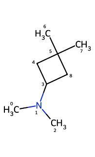 CN(C)C1CC(C)(C)C1